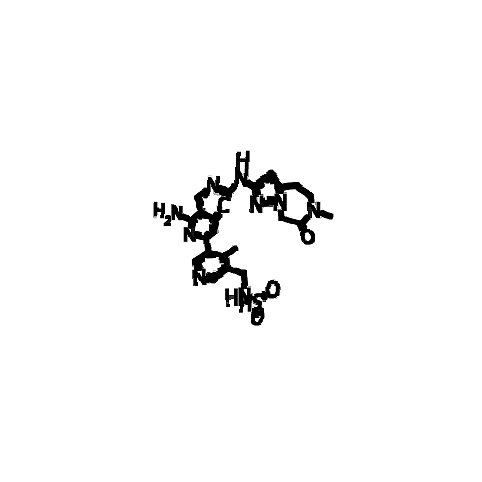 Cc1c(CN[SH](=O)=O)cncc1-c1cc2cc(Nc3cc4n(n3)CC(=O)N(C)CC4)ncc2c(N)n1